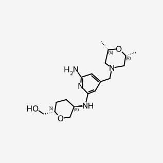 C[C@@H]1CN(Cc2cc(N)nc(N[C@@H]3CC[C@@H](CO)OC3)c2)C[C@H](C)O1